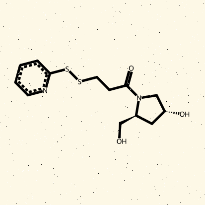 O=C(CCSSc1ccccn1)N1C[C@H](O)C[C@H]1CO